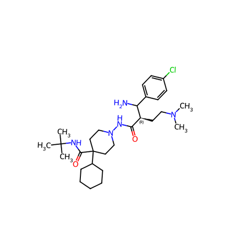 CN(C)CC[C@@H](C(=O)NN1CCC(C(=O)NC(C)(C)C)(C2CCCCC2)CC1)C(N)c1ccc(Cl)cc1